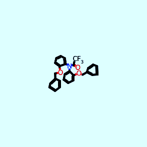 O=C(N(c1ccccc1OCc1ccccc1)c1ccccc1OCc1ccccc1)C(F)(F)F